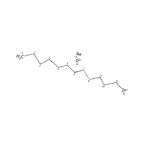 CCCCCCCCCCC[CH2][Zn+].[Na+].[O-2]